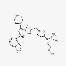 COCCN(C(C)C)C1CCN(Cc2cc3nc(-c4cccc5[nH]ncc45)nc(N4CCOCC4)c3s2)CC1